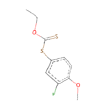 CCOC(=S)Sc1ccc(OC)c(F)c1